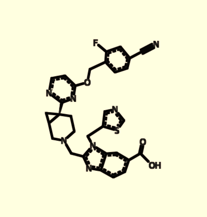 N#Cc1ccc(COc2ccnc([C@@]34CCN(Cc5nc6ccc(C(=O)O)cc6n5Cc5cncs5)CC3C4)n2)c(F)c1